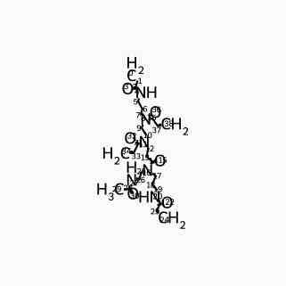 C=CC(=O)NCCCN(CCN(CCC(=O)N(CCCNC(=O)C=C)CCNC(C)=O)C(=O)C=C)C(=O)C=C